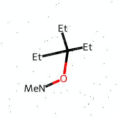 CCC(CC)(CC)ONC